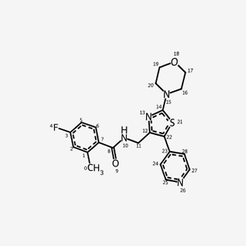 Cc1cc(F)ccc1C(=O)NCc1nc(N2CCOCC2)sc1-c1ccncc1